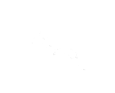 O=C(O)Cn1nnc(-c2cnc(N3CCN(c4ccccc4Cl)CC3)s2)n1